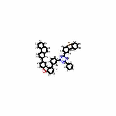 c1ccc(-c2nc(-c3cccc(-c4cccc5oc6ccc(-c7ccc8c(ccc9ccccc98)c7)cc6c45)c3)nc(-c3ccc4sc5ccccc5c4c3)n2)cc1